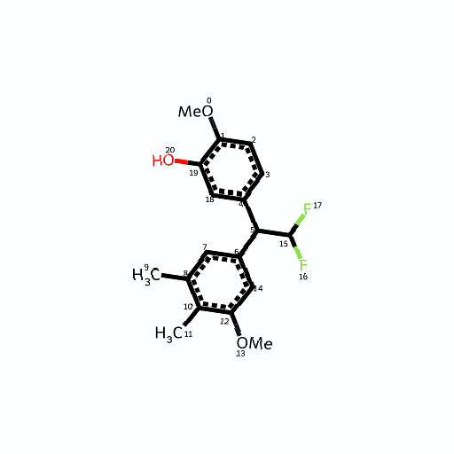 COc1ccc(C(c2cc(C)c(C)c(OC)c2)C(F)F)cc1O